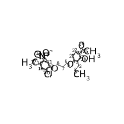 CCCc1c(OCCCOc2cc([N+](=O)[O-])c(C)cc2Cl)ccc(C(C)=O)c1O